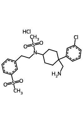 CS(=O)(=O)c1cccc(CCN(C2CCC(CN)(c3cccc(Cl)c3)CC2)S(C)(=O)=O)c1.Cl